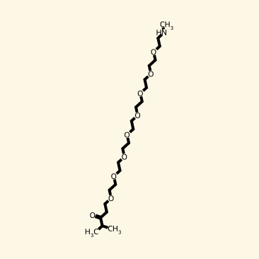 CNCCOCCOCCOCCOCCOCCOCCOCCOCCC(=O)C(C)C